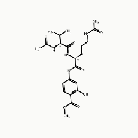 COC(=O)c1ccc(NC(=O)[C@H](CCCNC(N)=O)NC(=O)[C@@H](NC(C)=O)C(C)C)cc1O